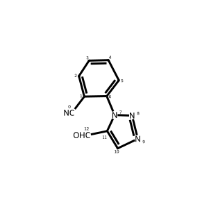 N#Cc1ccccc1-n1nncc1C=O